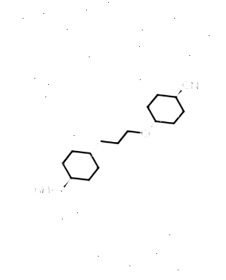 CCCCCC[C@H]1CC[C@H](CCCO[C@H]2CC[C@H](C#N)CC2)CC1